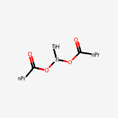 CCCC(=O)[O][Ti]([TiH])[O]C(=O)CCC